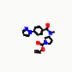 CN(C(=O)c1ccc(-n2cccn2)cc1)[C@@H]1CCN(C(=O)OC(C)(C)C)C1